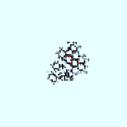 CC1(C)c2ccccc2-c2cccc(N(c3cccc(-c4ccccc4)c3)c3ccccc3-c3cc(-n4c5ccccc5c5ccccc54)cc4ccccc34)c21